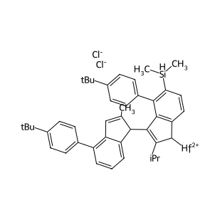 CC1=Cc2c(-c3ccc(C(C)(C)C)cc3)cccc2C1C1=C(C(C)C)[CH]([Hf+2])c2ccc([SiH](C)C)c(-c3ccc(C(C)(C)C)cc3)c21.[Cl-].[Cl-]